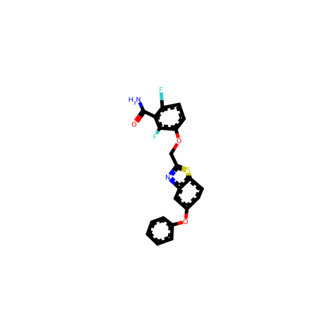 NC(=O)c1c(F)ccc(OCc2nc3cc(Oc4ccccc4)ccc3s2)c1F